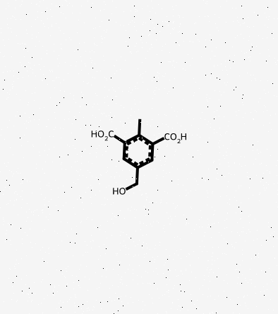 Cc1c(C(=O)O)cc(CO)cc1C(=O)O